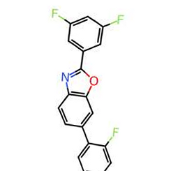 Fc1cc(F)cc(-c2nc3ccc(-c4ccccc4F)cc3o2)c1